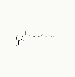 C=C(CC(C)C(/C=C\C)=C/C)NCCCCCCCCCCCCCCCCCC